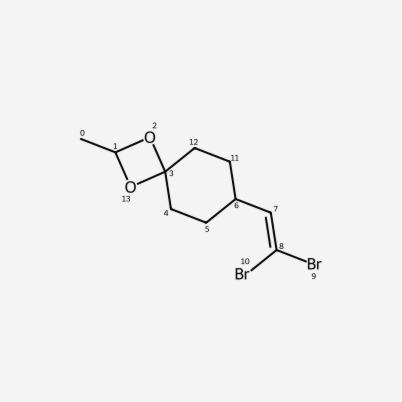 CC1OC2(CCC(C=C(Br)Br)CC2)O1